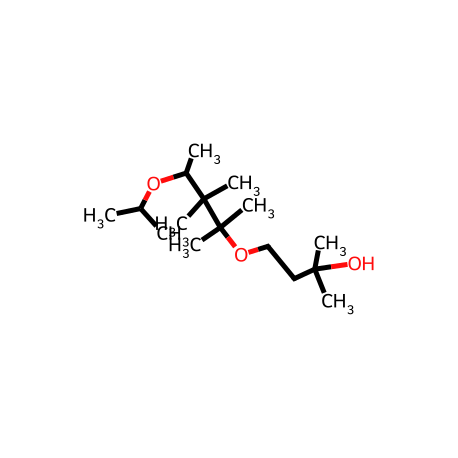 CC(C)OC(C)C(C)(C)C(C)(C)OCCC(C)(C)O